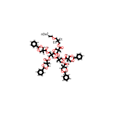 CCCCCCCCCCCCOCC(CC)(CC)COC(=O)C(C)(COC(=O)C(C)(COC(=O)C1(C)COC(c2ccccc2)OC1)COC(=O)C1(C)COC(c2ccccc2)OC1)COC(=O)C(C)(COC(=O)C1(C)COC(c2ccccc2)OC1)COC(=O)C1(C)COC(c2ccccc2)OC1